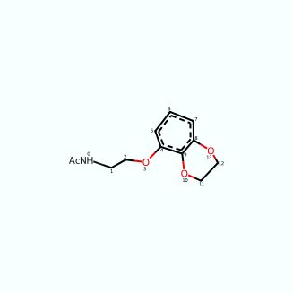 CC(=O)NCCOc1cccc2c1OCCO2